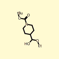 CCOC(O)C1CCN(C(=O)OC(C)(C)C)CC1